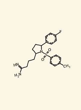 Cc1ccc(S(=O)(=O)N2C(CCCC(=N)N)CCC2c2ccc(F)cc2)cc1